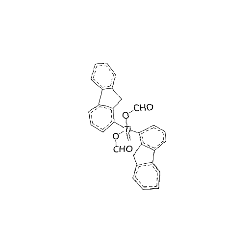 [CH2]=[Ti]([O]C=O)([O]C=O)([c]1cccc2c1Cc1ccccc1-2)[c]1cccc2c1Cc1ccccc1-2